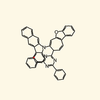 C1=CC(c2nc(-c3ccccc3)nc(-c3ccccc3)n2)C(n2c3ccccc3c3cc4ccccc4cc32)=Cc2oc3ccccc3c21